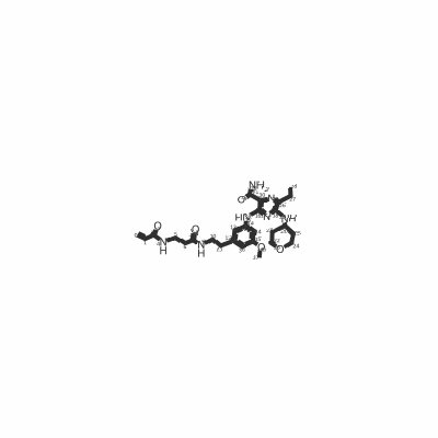 C=CC(=O)NCCC(=O)NCCc1cc(Nc2nc(NC3CCOCC3)c(CC)nc2C(N)=O)cc(OC)c1